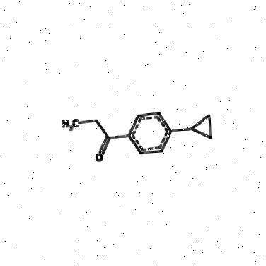 CCC(=O)c1ccc(C2CC2)cc1